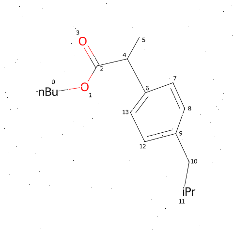 CCC[CH]OC(=O)C(C)c1ccc(CC(C)C)cc1